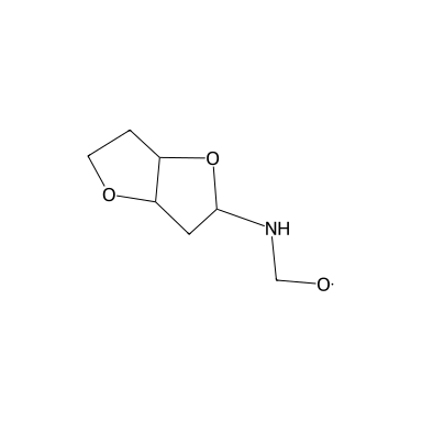 [O]CNC1CC2OCCC2O1